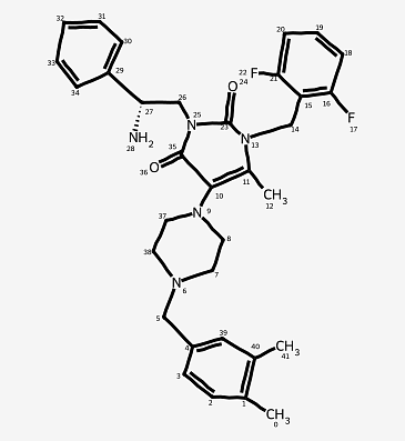 Cc1ccc(CN2CCN(c3c(C)n(Cc4c(F)cccc4F)c(=O)n(C[C@H](N)c4ccccc4)c3=O)CC2)cc1C